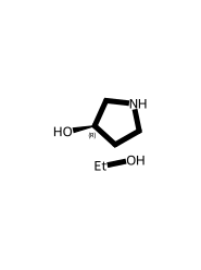 CCO.O[C@@H]1CCNC1